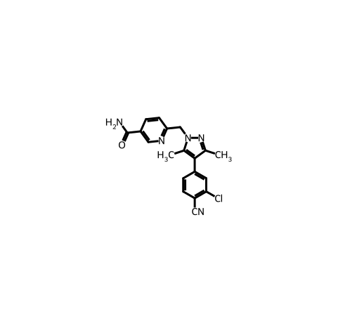 Cc1nn(Cc2ccc(C(N)=O)cn2)c(C)c1-c1ccc(C#N)c(Cl)c1